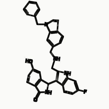 O=C1NC(c2c(CNCc3ccc4ccn(Cc5ccccc5)c4c3)[nH]c3cc(F)ccc23)c2cc(O)ccc21